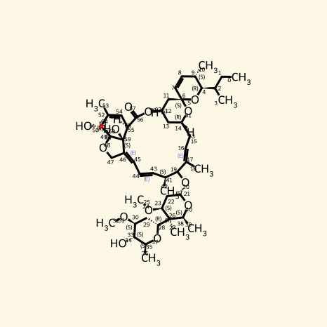 CCC(C)[C@H]1O[C@]2(C=C[C@@H]1C)C[C@@H]1C[C@@H](C/C=C(\C)C(O[C@H]3C[C@H](OC)[C@](C)([C@H]4C[C@H](OC)[C@@H](O)[C@H](C)O4)[C@H](C)O3)[C@@H](C)/C=C/C=C3\CO[C@@H]4[C@H](O)C(C)=C[C@@H](C(=O)O1)[C@]34O)O2